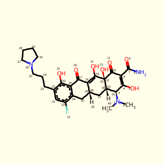 CN(C)[C@@H]1C(O)=C(C(N)=O)C(=O)[C@@]2(O)C(O)=C3C(=O)c4c(O)c(CCCN5CCCC5)cc(F)c4C[C@H]3C[C@@H]12